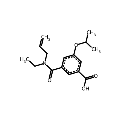 C=CCN(CC)C(=O)c1cc(OC(C)C)cc(C(=O)O)c1